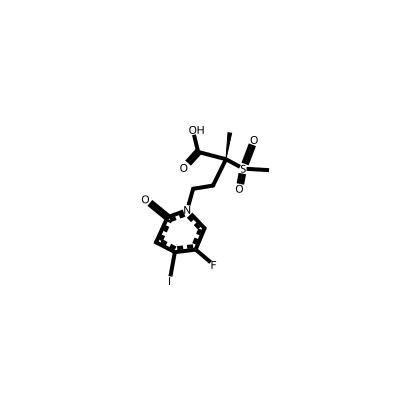 C[C@@](CCn1cc(F)c(I)cc1=O)(C(=O)O)S(C)(=O)=O